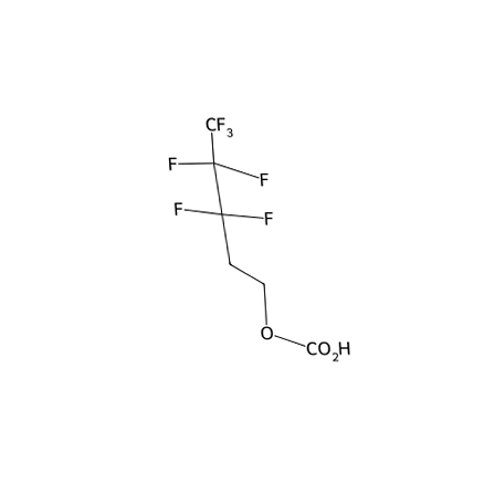 O=C(O)OCCC(F)(F)C(F)(F)C(F)(F)F